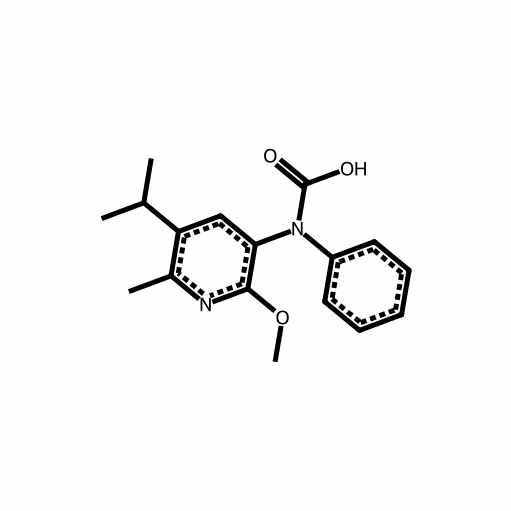 COc1nc(C)c(C(C)C)cc1N(C(=O)O)c1ccccc1